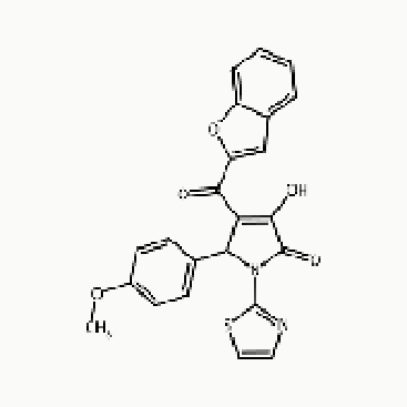 COc1ccc(C2C(C(=O)c3cc4ccccc4o3)=C(O)C(=O)N2c2nccs2)cc1